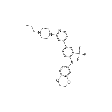 CCCN1CCN(c2cc(-c3ccc(Sc4ccc5c(c4)OCCO5)c(C(F)(F)F)c3)ccn2)CC1